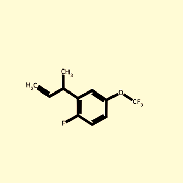 C=C[C](C)c1cc(OC(F)(F)F)ccc1F